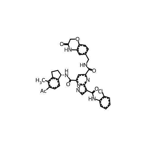 CC(=O)c1ccc2c(c1C)CC[C@@H]2NC(=O)c1cc(C(=O)NCc2ccc3c(c2)NC(=O)CO3)nc2c(C(=O)Nc3ccccc3Cl)cnn12